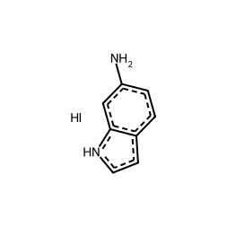 I.Nc1ccc2cc[nH]c2c1